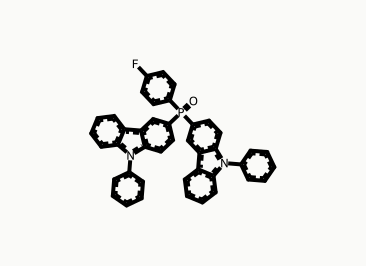 O=P(c1ccc(F)cc1)(c1ccc2c(c1)c1ccccc1n2-c1ccccc1)c1ccc2c(c1)c1ccccc1n2-c1ccccc1